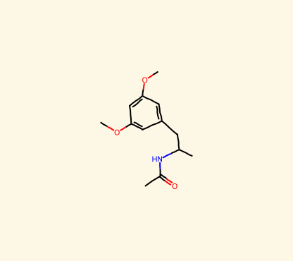 COc1cc(CC(C)NC(C)=O)cc(OC)c1